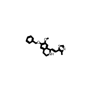 COc1cc2c(cc1OCc1ccccc1)CCNC2/C=C/c1scnc1C